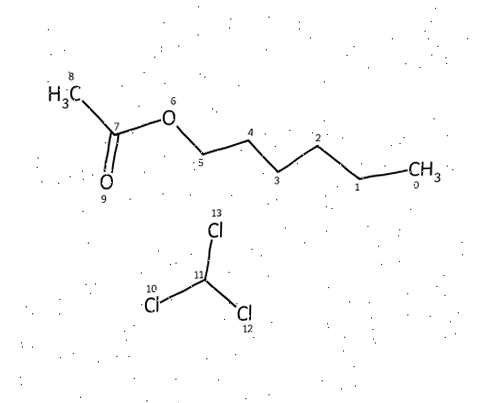 CCCCCCOC(C)=O.ClC(Cl)Cl